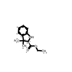 CCOC(=O)[C@@H]1Nc2ccccc2C1(C)C